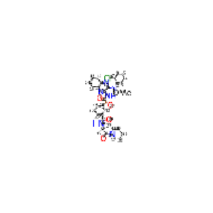 CON(c1ccccc1Cl)c1nc2ccccc2nc1NS(=O)(=O)c1cccc(C(=O)NC(C)(C)C(=O)N2CCCCC2)c1